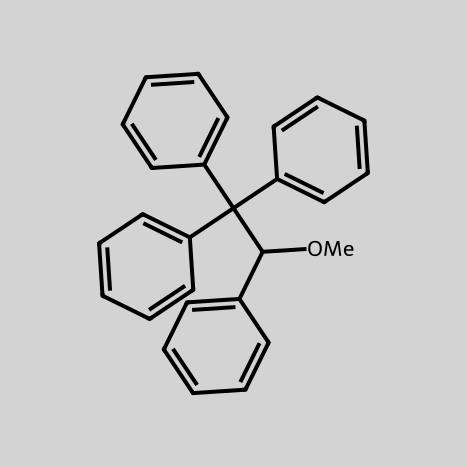 COC(c1ccccc1)C(c1ccccc1)(c1ccccc1)c1ccccc1